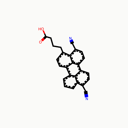 N#Cc1ccc2c3ccc(C#N)c4c(CCCC(=O)O)ccc(c5cccc1c25)c43